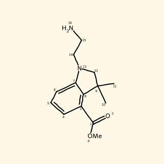 COC(=O)c1cccc2c1C(C)(C)CN2CCN